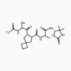 CC1(C)C[C@@H](CC(NC(=O)C2CC3(CCC3)CN2C(=O)C(NC(=O)C(F)(F)F)C(C)(C)C)C(N)=O)C(=O)N1